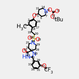 Cc1cc(OC2CCN(OC(=O)OC(C)(C)C)CC2)ccc1CCS(=O)(=O)N1CCC2(CC1)N=C(c1cccc(OC(F)(F)F)c1)NC2=O